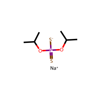 CC(C)OP(=S)([S-])OC(C)C.[Na+]